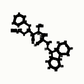 CCOC(=O)CN(Cc1ccccc1)C(=O)C(NC(=O)OCC1c2ccccc2-c2ccccc21)C(C)CC